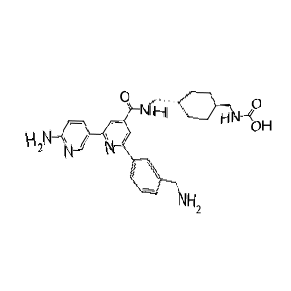 NCc1cccc(-c2cc(C(=O)NC[C@H]3CC[C@H](CNC(=O)O)CC3)cc(-c3ccc(N)nc3)n2)c1